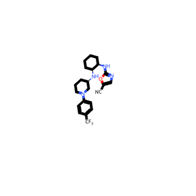 N#Cc1cnc(N[C@@H]2CCCC[C@H]2N[C@H]2CCCN(c3ccc(C(F)(F)F)cc3)C2)o1